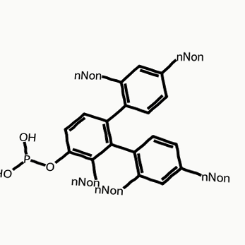 CCCCCCCCCc1ccc(-c2ccc(OP(O)O)c(CCCCCCCCC)c2-c2ccc(CCCCCCCCC)cc2CCCCCCCCC)c(CCCCCCCCC)c1